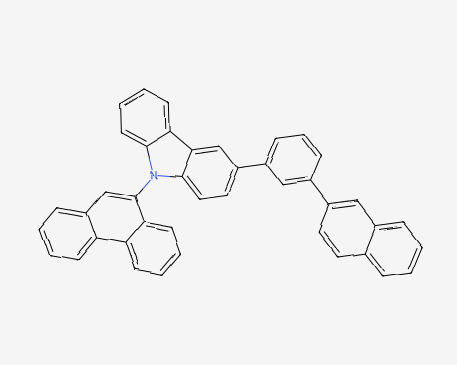 c1cc(-c2ccc3ccccc3c2)cc(-c2ccc3c(c2)c2ccccc2n3-c2cc3ccccc3c3ccccc23)c1